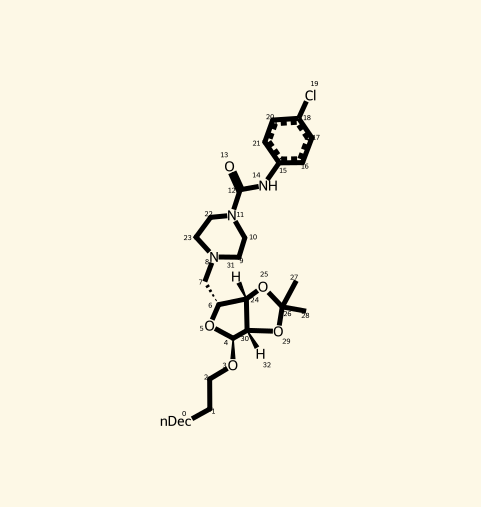 CCCCCCCCCCCCO[C@H]1O[C@H](CN2CCN(C(=O)Nc3ccc(Cl)cc3)CC2)[C@@H]2OC(C)(C)O[C@H]12